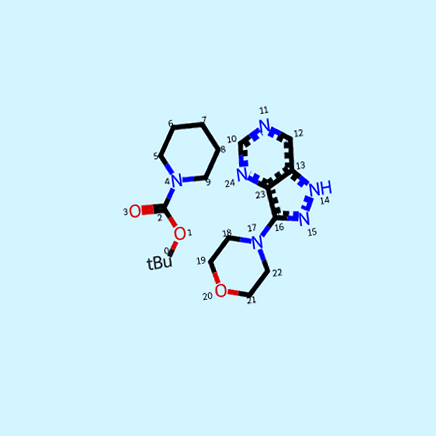 CC(C)(C)OC(=O)N1CCCCC1.c1ncc2[nH]nc(N3CCOCC3)c2n1